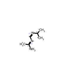 C/C(N)=N\C=N/C(C)C